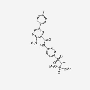 COP(=O)(OC)C(C)S(=O)(=O)c1ccc(NC(=O)c2nc(-c3ccc(C)cc3)cnc2N)cc1